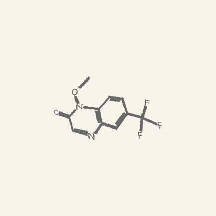 COn1c(=O)cnc2cc(C(F)(F)F)ccc21